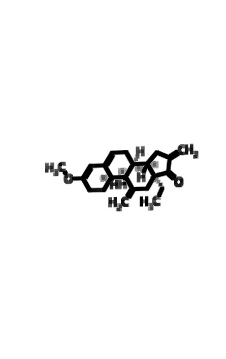 C=C1C[C@H]2[C@@H]3CC=C4C=C(OC)CC[C@@H]4[C@H]3C(=C)C[C@]2(CC)C1=O